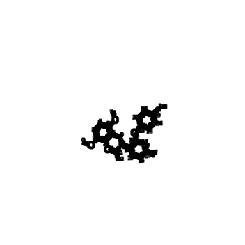 COc1ccc(OC)c(CN(C(C)=O)c2ccc(F)nc2Oc2ccc(I)cc2)c1